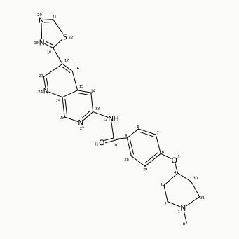 CN1CCC(Oc2ccc(C(=O)Nc3cc4cc(-c5nncs5)cnc4cn3)cc2)CC1